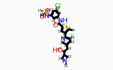 Cc1sc(C(=O)Nc2cc(Cl)cc(NS(C)(=O)=O)c2)cc1-c1ncc(C[C@H](O)C2CN(C)C2)cc1F